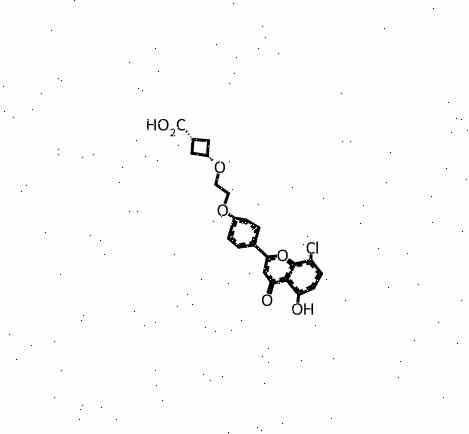 O=c1cc(-c2ccc(OCCO[C@H]3C[C@@H](C(=O)O)C3)cc2)oc2c(Cl)ccc(O)c12